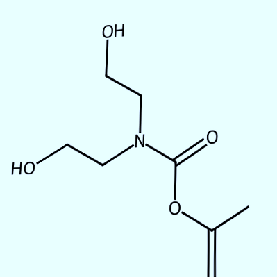 C=C(C)OC(=O)N(CCO)CCO